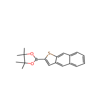 CC1(C)OB(c2cc3cc4ccccc4cc3s2)OC1(C)C